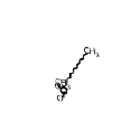 CCCCCCCCCCCCCCOc1ccc(C=O)cc1OC